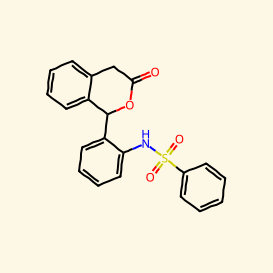 O=C1Cc2ccccc2C(c2ccccc2NS(=O)(=O)c2ccccc2)O1